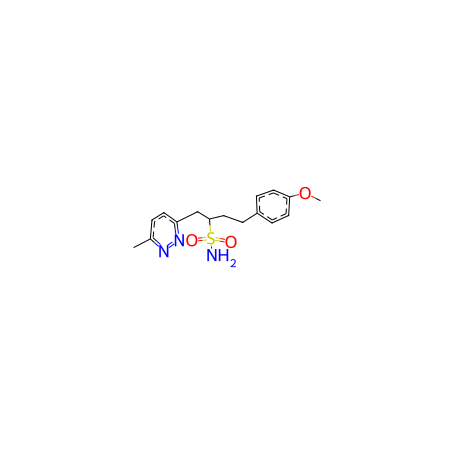 COc1ccc(CCC(Cc2ccc(C)nn2)S(N)(=O)=O)cc1